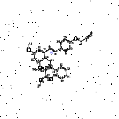 C#CCOc1ccc(/C=C/c2cc(OC)cc(OC)c2CN(C(=O)C(=O)OC)c2ccccc2)cc1